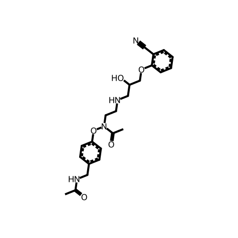 CC(=O)NCc1ccc(ON(CCNCC(O)COc2ccccc2C#N)C(C)=O)cc1